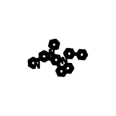 c1ccc(-c2cccc(N3c4cc5c(cc4-c4cccc6cccc3c46)c3cc(-c4ccccn4)ccc3n5-c3ccccc3)c2)cc1